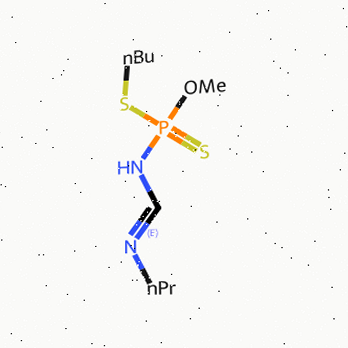 CCCCSP(=S)(N/C=N/CCC)OC